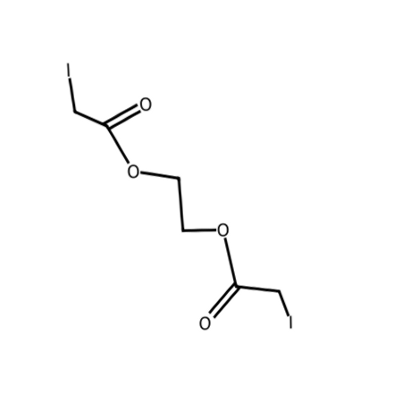 O=C(CI)OCCOC(=O)CI